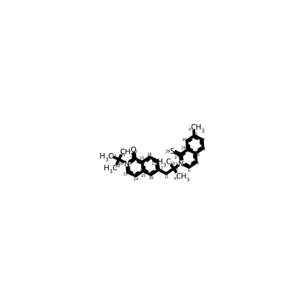 Cc1ccc2ccn(C(C)(C)Cc3ccc4c(=O)n(C(C)(C)C)ccc4c3)c(=S)c2c1